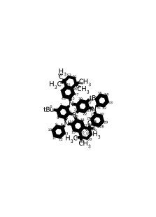 CC(C)(C)c1cc2c3c(c1)N(c1ccccc1)c1cc4c(cc1B3c1cc(N(c3ccccc3)c3ccccc3)c(C(C)(C)C)cc1N2c1ccc2c(c1)C(C)(C)CCC2(C)C)C(C)(C)CCC4(C)C